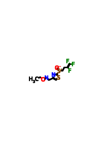 CCO/N=C/c1csc([S+]([O-])CCC(F)=C(F)F)n1